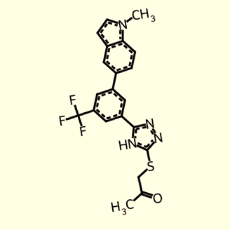 CC(=O)CSc1nnc(-c2cc(-c3ccc4c(ccn4C)c3)cc(C(F)(F)F)c2)[nH]1